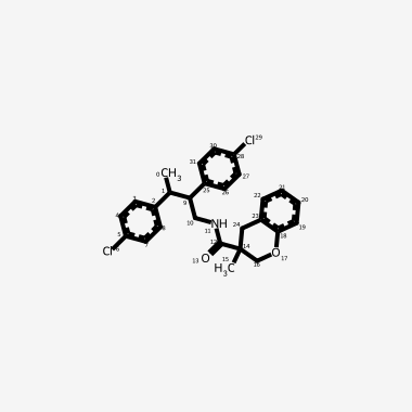 CC(c1ccc(Cl)cc1)C(CNC(=O)C1(C)COc2ccccc2C1)c1ccc(Cl)cc1